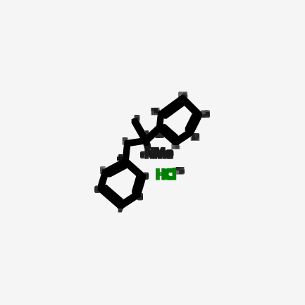 CNC(C)(Cc1ccccc1)c1ccccc1.Cl